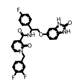 O=C(NC(COc1ccc2[nH]c(=O)[nH]c2c1)c1ccc(F)cc1)c1cccn(Cc2ccc(F)c(F)c2)c1=O